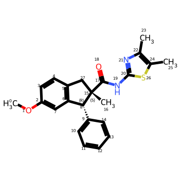 COc1ccc2c(c1)[C@@H](c1ccccc1)[C@@](C)(C(=O)Nc1nc(C)c(C)s1)C2